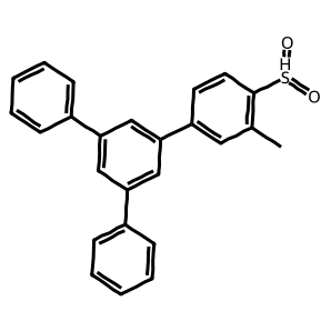 Cc1cc(-c2cc(-c3ccccc3)cc(-c3ccccc3)c2)ccc1[SH](=O)=O